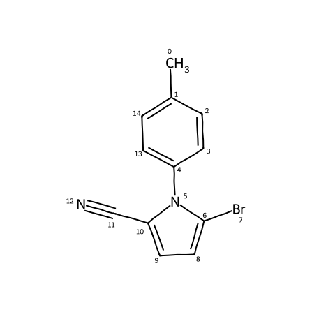 Cc1ccc(-n2c(Br)ccc2C#N)cc1